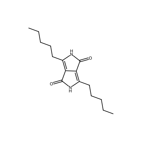 CCCCCC1=C2C(=O)NC(CCCCC)=C2C(=O)N1